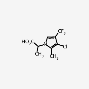 Cc1c(Cl)c(C(F)(F)F)cn1C(C)C(=O)O